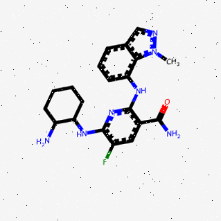 Cn1ncc2cccc(Nc3nc(NC4CCCCC4N)c(F)cc3C(N)=O)c21